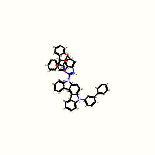 C1=C(c2cccc3c2oc2ccccc23)/N=C(n2c3ccccc3c3c4c5ccccc5n(-c5cccc(-c6ccccc6)c5)c4ccc32)\N=C(\c2ccccc2)C2CC/12